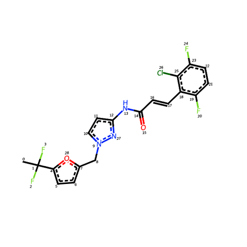 CC(F)(F)c1ccc(Cn2ccc(NC(=O)C=Cc3c(F)ccc(F)c3Cl)n2)o1